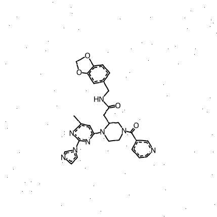 Cc1cc(N2CCN(C(=O)c3cccnc3)CC2CC(=O)NCc2ccc3c(c2)OCO3)nc(-n2ccnc2)n1